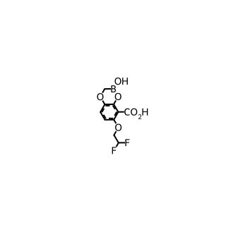 O=C(O)c1c(OCC(F)F)ccc2c1OB(O)CO2